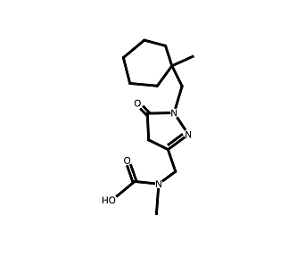 CN(CC1=NN(CC2(C)CCCCC2)C(=O)C1)C(=O)O